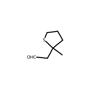 CC1(CC=O)CCCS1